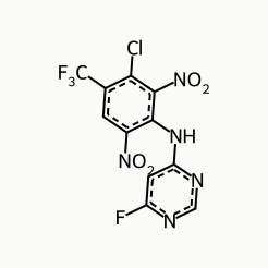 O=[N+]([O-])c1cc(C(F)(F)F)c(Cl)c([N+](=O)[O-])c1Nc1cc(F)ncn1